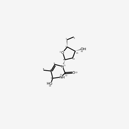 CC[C@H]1O[C@@H](N2C=C(C)C(O)NC2=O)C[C@H]1O